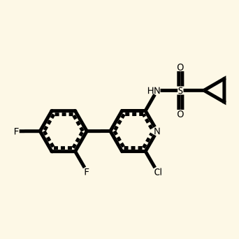 O=S(=O)(Nc1cc(-c2ccc(F)cc2F)cc(Cl)n1)C1CC1